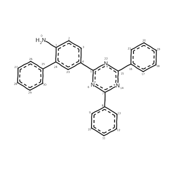 Nc1ccc(-c2nc(-c3ccccc3)nc(-c3ccccc3)n2)cc1-c1ccccc1